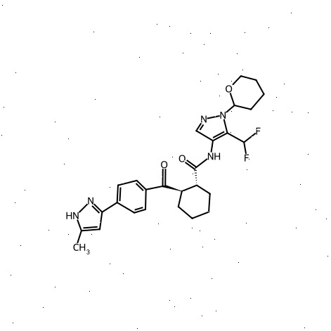 Cc1cc(-c2ccc(C(=O)[C@@H]3CCCC[C@H]3C(=O)Nc3cnn(C4CCCCO4)c3C(F)F)cc2)n[nH]1